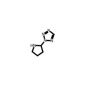 c1nnn(C2CCCN2)n1